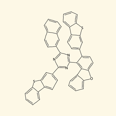 c1ccc2cc(-c3nc(-c4ccc5c(c4)sc4ccccc45)nc(-c4c(-c5ccc6c(c5)sc5ccccc56)ccc5oc6ccccc6c45)n3)ccc2c1